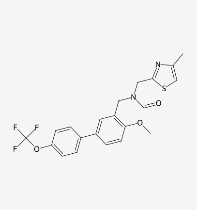 COc1ccc(-c2ccc(OC(F)(F)F)cc2)cc1CN(C=O)Cc1nc(C)cs1